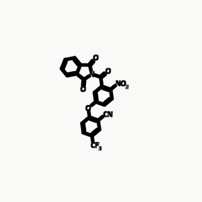 N#Cc1cc(C(F)(F)F)ccc1Oc1ccc([N+](=O)[O-])c(C(=O)N2C(=O)c3ccccc3C2=O)c1